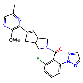 COc1ncc(C)nc1C1=CC2CN(C(=O)c3c(F)cccc3-n3nccn3)CC2C1